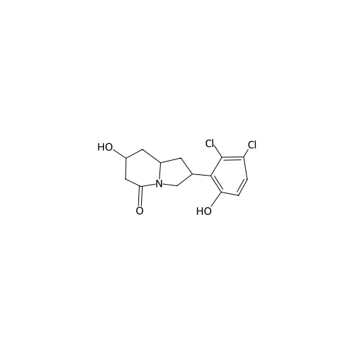 O=C1CC(O)CC2CC(c3c(O)ccc(Cl)c3Cl)CN12